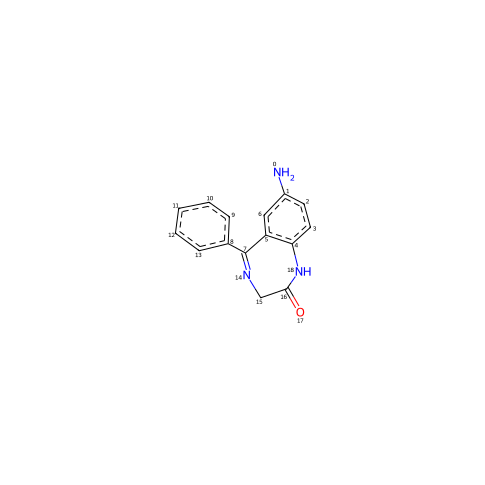 Nc1ccc2c(c1)C(c1ccccc1)=NCC(=O)N2